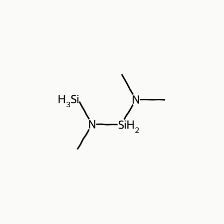 CN(C)[SiH2]N(C)[SiH3]